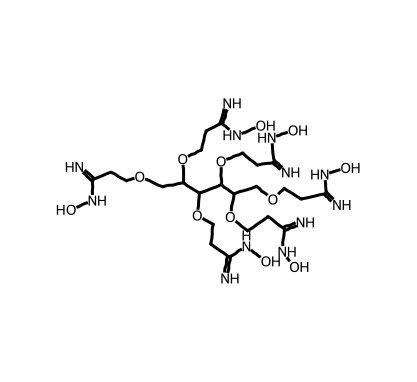 N=C(CCOCC(OCCC(=N)NO)C(OCCC(=N)NO)C(OCCC(=N)NO)C(COCCC(=N)NO)OCCC(=N)NO)NO